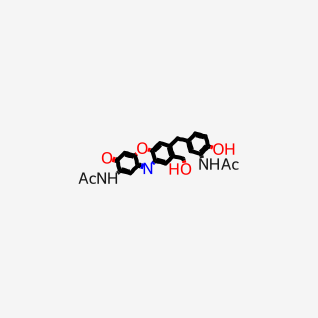 CC(=O)Nc1cc(Cc2cc3oc4cc(=O)c(NC(C)=O)cc-4nc3cc2CO)ccc1O